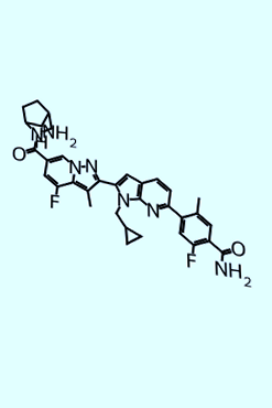 Cc1cc(C(N)=O)c(F)cc1-c1ccc2cc(-c3nn4cc(C(=O)N5CC6CCC5[C@@H]6N)cc(F)c4c3C)n(CC3CC3)c2n1